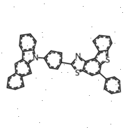 c1ccc(-c2cc3sc(-c4ccc(-n5c6ccccc6c6cc7ccccc7cc65)cc4)nc3c3c2sc2ccccc23)cc1